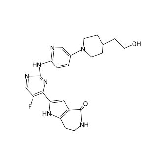 O=C1NCCc2[nH]c(-c3nc(Nc4ccc(N5CCC(CCO)CC5)cn4)ncc3F)cc21